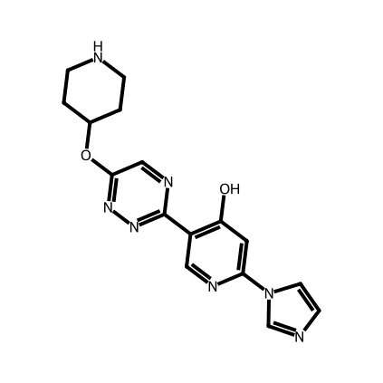 Oc1cc(-n2ccnc2)ncc1-c1ncc(OC2CCNCC2)nn1